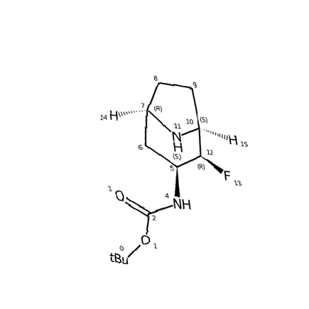 CC(C)(C)OC(=O)N[C@H]1C[C@H]2CC[C@H](N2)[C@H]1F